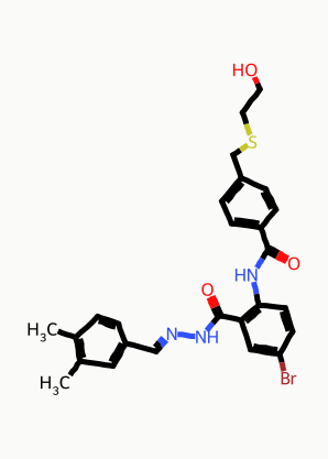 Cc1ccc(/C=N/NC(=O)c2cc(Br)ccc2NC(=O)c2ccc(CSCCO)cc2)cc1C